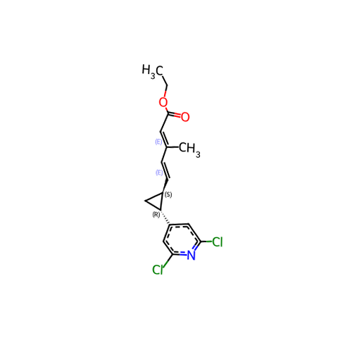 CCOC(=O)/C=C(C)/C=C/[C@@H]1C[C@H]1c1cc(Cl)nc(Cl)c1